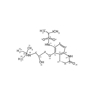 CC(C)S(=O)(=O)Nc1ccc2c(c1OCC(O)CNC(C)(C)C)CCC(=O)N2